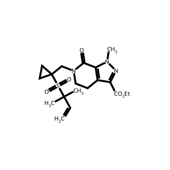 C=CC(C)(C)S(=O)(=O)C1(CN2CCc3c(C(=O)OCC)nn(C)c3C2=O)CC1